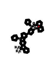 CC1(C)c2ccccc2-c2cc3c4cc(-c5ccc6c(c5)N(c5ccccc5)P(=O)(c5ccccc5)N6c5ccccc5)ccc4n(-c4ccccc4)c3cc21